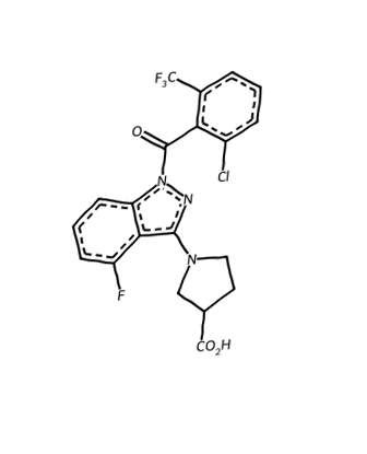 O=C(O)C1CCN(c2nn(C(=O)c3c(Cl)cccc3C(F)(F)F)c3cccc(F)c23)C1